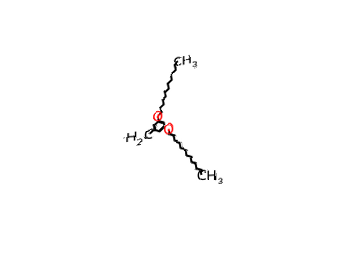 [CH2]c1cc(OCCCCCCCCCCCCC)cc(OCCCCCCCCCCCCC)c1